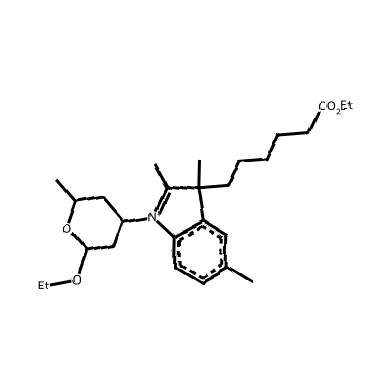 CCOC(=O)CCCCCC1(C)C(C)=[N+](C2CC(C)OC(OCC)C2)c2ccc(C)cc21